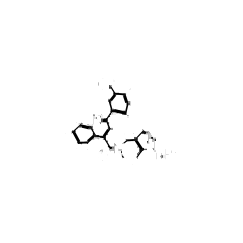 CCCn1ncc(CN(C)C(=O)c2cc(-c3cccc(Cl)c3)nc3ccccc23)c1C